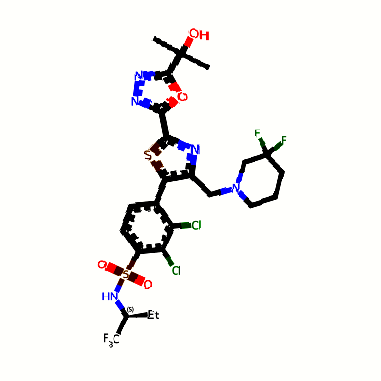 CC[C@H](NS(=O)(=O)c1ccc(-c2sc(-c3nnc(C(C)(C)O)o3)nc2CN2CCCC(F)(F)C2)c(Cl)c1Cl)C(F)(F)F